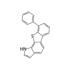 c1ccc(-c2cccc3c2sc2c3ccc3cc[nH]c32)cc1